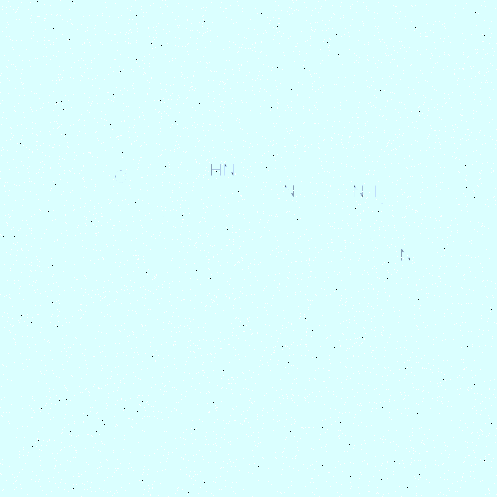 Nc1ncccc1-c1cc(-c2ccco2)[nH]n1